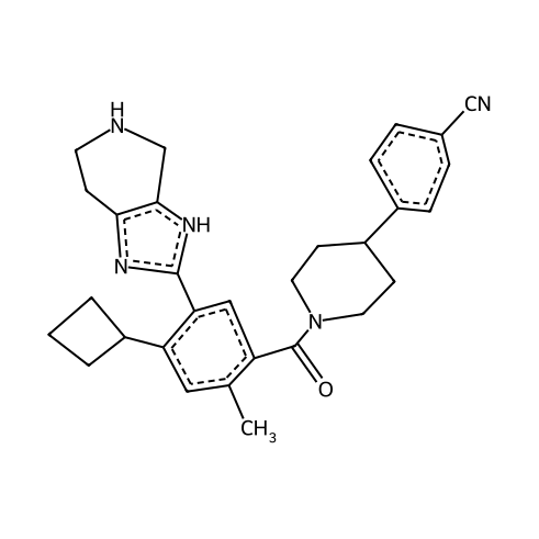 Cc1cc(C2CCC2)c(-c2nc3c([nH]2)CNCC3)cc1C(=O)N1CCC(c2ccc(C#N)cc2)CC1